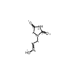 O=C1CN(CC=NO)C(=O)N1